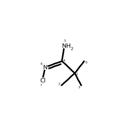 CC(C)(C)/C(N)=N\Cl